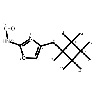 CC1(C)C(C)(C)C(C)(Cc2coc(NC=O)n2)C1(C)C